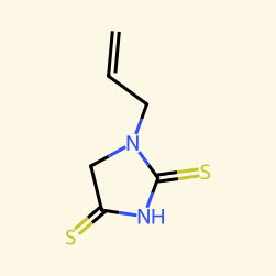 C=CCN1CC(=S)NC1=S